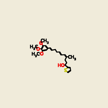 COc1cc(C=CCCC=CC=C(C)CCC(O)c2cccs2)cc(OC)c1OC